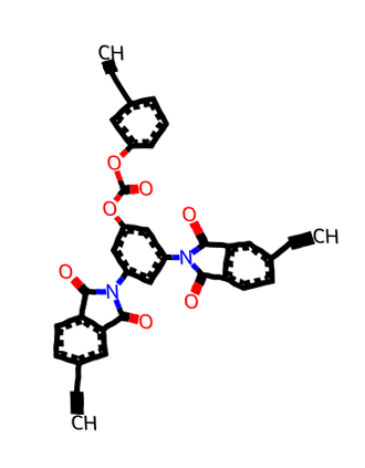 C#Cc1cccc(OC(=O)Oc2cc(N3C(=O)c4ccc(C#C)cc4C3=O)cc(N3C(=O)c4ccc(C#C)cc4C3=O)c2)c1